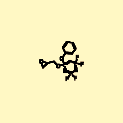 FP1(F)=NP(F)(F)=NP(OCC2CO2)(Oc2ccccc2)=C1